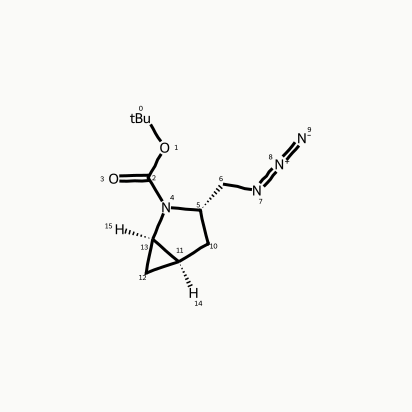 CC(C)(C)OC(=O)N1[C@H](CN=[N+]=[N-])C[C@H]2C[C@H]21